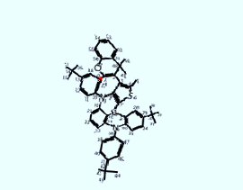 CC1=C(c2c(C)sc3c2N(c2ccc(C(C)(C)C)cc2)c2cccc4c2B3c2cc(C(C)(C)C)ccc2N4C2=CCC(C(C)(C)C)C=C2)C(C)(C)c2ccccc2O1